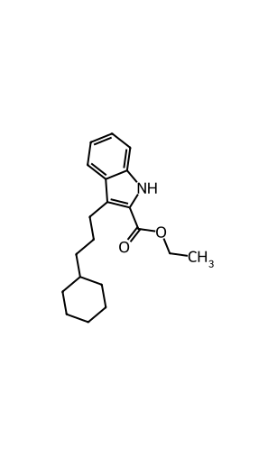 CCOC(=O)c1[nH]c2ccccc2c1CCCC1CCCCC1